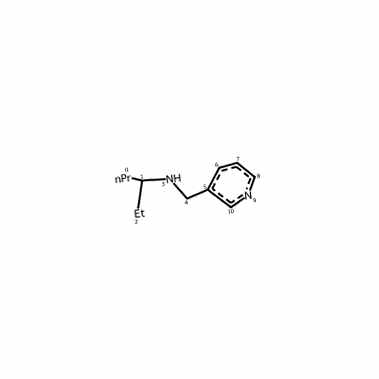 CCCC(CC)NCc1cccnc1